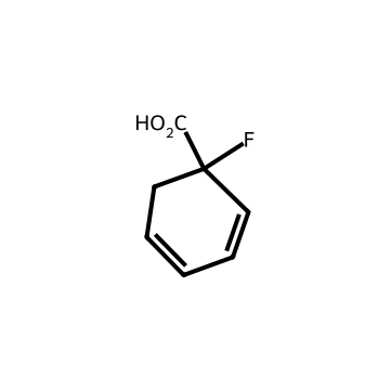 O=C(O)C1(F)C=CC=CC1